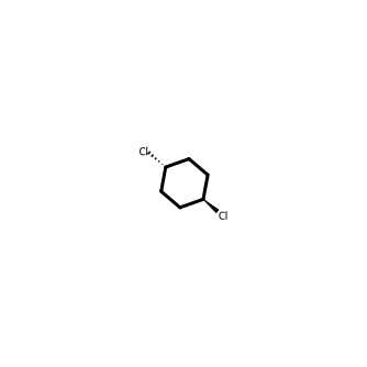 Cl[C@H]1CC[C@H](Cl)CC1